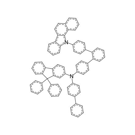 c1ccc(-c2ccc(N(c3ccc(-c4ccccc4-c4ccc(-n5c6ccccc6c6ccc7ccccc7c65)cc4)cc3)c3ccc4c(c3)C(c3ccccc3)(c3ccccc3)c3ccccc3-4)cc2)cc1